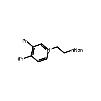 CCCCCCCCCCC[n+]1ccc(C(C)C)c(C(C)C)c1